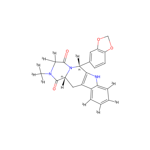 [2H]c1c([2H])c([2H])c2c3c([nH]c2c1[2H])[C@@]([2H])(c1ccc2c(c1)OCO2)N1C(=O)C([2H])([2H])N(C([2H])([2H])[2H])C(=O)[C@H]1C3